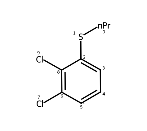 CCCSc1cc[c]c(Cl)c1Cl